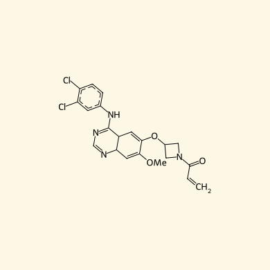 C=CC(=O)N1CC(OC2=CC3C(Nc4ccc(Cl)c(Cl)c4)=NC=NC3C=C2OC)C1